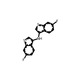 Fc1ccc2c(Nc3csc4cc(F)ccc34)csc2c1